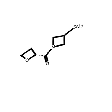 CSC1CN(C(=O)[C@H]2CCO2)C1